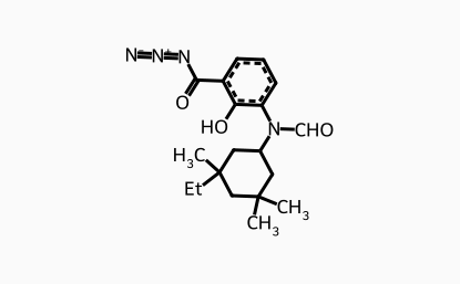 CCC1(C)CC(N(C=O)c2cccc(C(=O)N=[N+]=[N-])c2O)CC(C)(C)C1